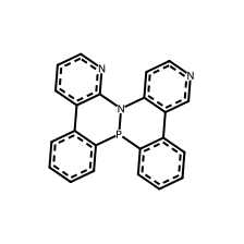 c1ccc2c(c1)-c1cnccc1N1c3ncccc3-c3ccccc3P21